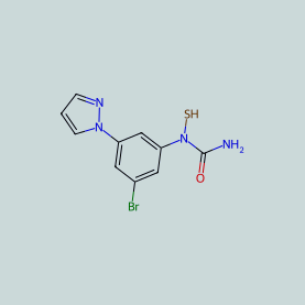 NC(=O)N(S)c1cc(Br)cc(-n2cccn2)c1